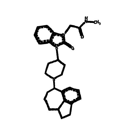 CNC(=O)Cn1c(=O)n(C2CCN(C3CCCC4CCc5cccc3c54)CC2)c2ccccc21